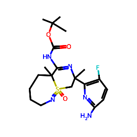 CC(C)(C)OC(=O)NC1=NC(C)(c2nc(N)ccc2F)CS2(=O)=NCCCCC12C